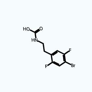 O=C(O)NCCc1cc(F)c(Br)cc1F